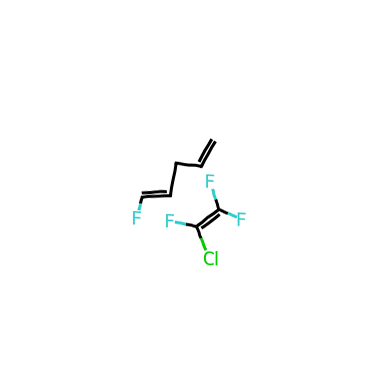 C=CCC=CF.FC(F)=C(F)Cl